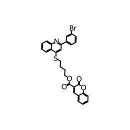 O=C(OCCCCSc1cc(-c2cccc(Br)c2)nc2ccccc12)c1cc2ccccc2oc1=O